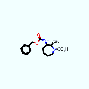 CC(C)(C)C1C(NC(=O)OCc2ccccc2)CCCCN1C(=O)O